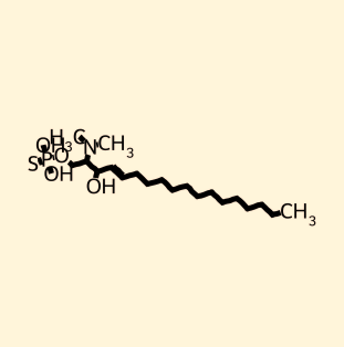 CCCCCCCCCCCCCC=CC(O)C(COP(O)(O)=S)N(C)C